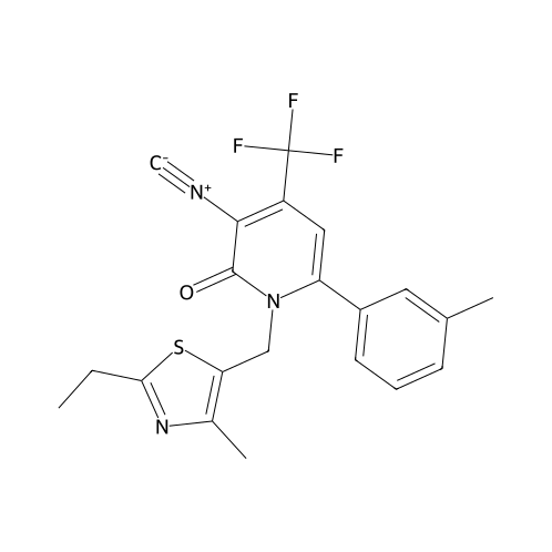 [C-]#[N+]c1c(C(F)(F)F)cc(-c2cccc(C)c2)n(Cc2sc(CC)nc2C)c1=O